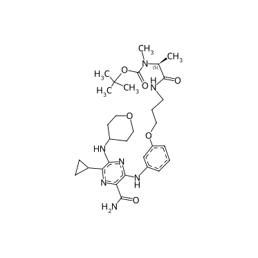 C[C@@H](C(=O)NCCCOc1cccc(Nc2nc(NC3CCOCC3)c(C3CC3)nc2C(N)=O)c1)N(C)C(=O)OC(C)(C)C